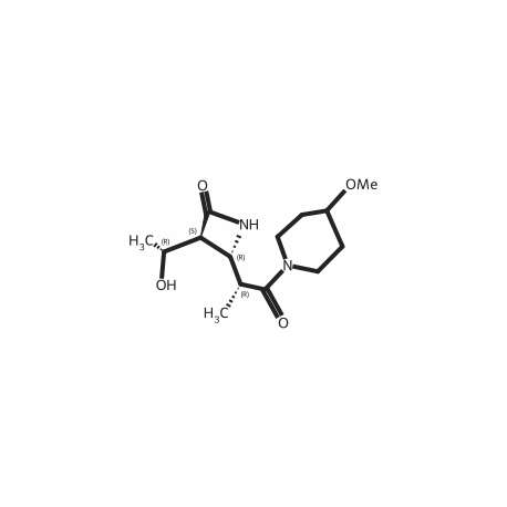 COC1CCN(C(=O)[C@H](C)[C@H]2NC(=O)[C@@H]2[C@@H](C)O)CC1